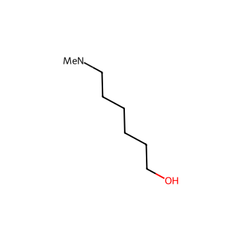 CNCCCCCCO